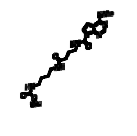 CNc1ncnc2c1ccn2C(=O)NCCCC(=O)NCCCCNC(=O)OC(C)(C)C